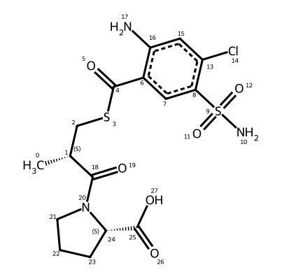 C[C@H](CSC(=O)c1cc(S(N)(=O)=O)c(Cl)cc1N)C(=O)N1CCC[C@H]1C(=O)O